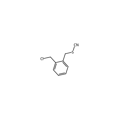 N#CSCc1ccccc1CCl